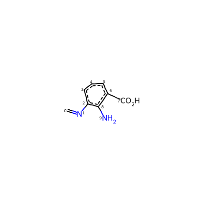 C=Nc1cccc(C(=O)O)c1N